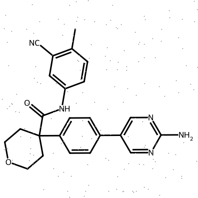 Cc1ccc(NC(=O)C2(c3ccc(-c4cnc(N)nc4)cc3)CCOCC2)cc1C#N